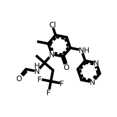 Cc1c(Cl)cc(Nc2ccncn2)c(=O)n1C(C)(CC(F)(F)F)NC=O